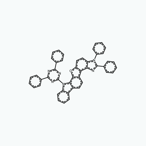 c1ccc(-c2nc(-c3ccccc3)nc(-n3c4ccccc4c4ccc5c(oc6ccc7c(nc(-c8ccccc8)n7-c7ccccc7)c65)c43)n2)cc1